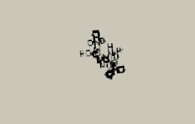 CC(C)C(=O)Nc1nc(OC(=O)N(c2ccccc2)c2ccccc2)c2ncn([C@H]3C[C@H](O)[C@@H](CON4C(=O)c5ccccc5C4=O)O3)c2n1